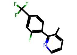 Cc1cccnc1-c1ccc(C(F)(F)F)cc1F